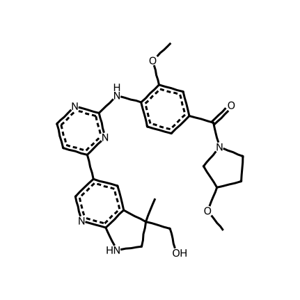 COc1cc(C(=O)N2CCC(OC)C2)ccc1Nc1nccc(-c2cnc3c(c2)C(C)(CO)CN3)n1